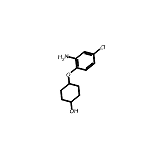 Nc1cc(Cl)ccc1OC1CCC(O)CC1